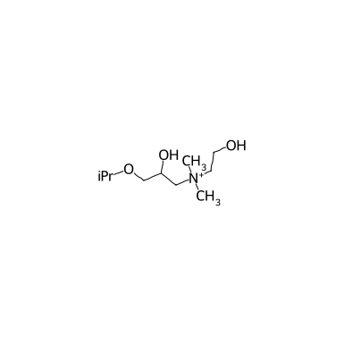 CC(C)OCC(O)C[N+](C)(C)CCO